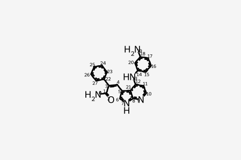 NC(=O)C(=Cc1c[nH]c2nccc(Nc3cccc(N)c3)c12)c1ccccc1